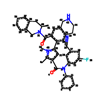 Cc1c(C(=O)N(c2ccccc2)c2cc(F)cc(C#N)c2)cc(-c2cc3c(cc2C(=O)N2Cc4ccccc4C[C@H]2C)CNCC3)n1C